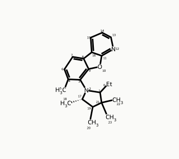 CCC1N(c2c(C)ccc3c2oc2ncccc23)[C@@H](C)C(C)C1(C)C